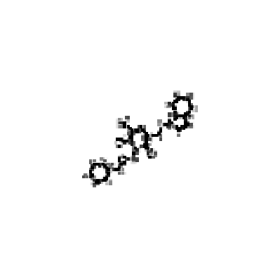 O=c1c(Br)nn(CCn2ccc3ccccc32)c(=O)n1COCc1ccccc1